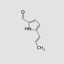 CC=Cc1ccc(C=O)[nH]1